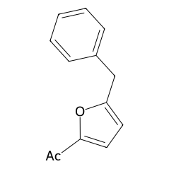 CC(=O)c1ccc(Cc2ccccc2)o1